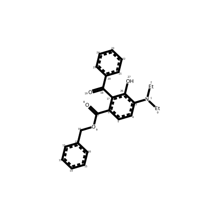 CCN(CC)c1ccc(C(=O)OCc2ccccc2)c(C(=O)c2ccccc2)c1O